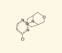 Clc1ccnc(N2C3COCC2COC3)n1